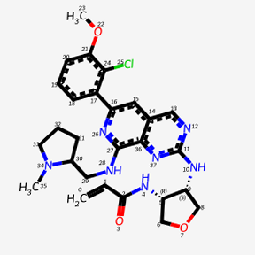 C=CC(=O)N[C@H]1COC[C@H]1Nc1ncc2cc(-c3cccc(OC)c3Cl)nc(NCC3CCCN3C)c2n1